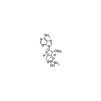 B[PH]1(O)OC[C@H]2O[C@@H](n3cnc4c(N)ncnc43)C(OC)[C@H]2O1